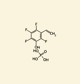 C=Cc1c(F)c(O)c(F)c(F)c1F.O=P(O)(O)O